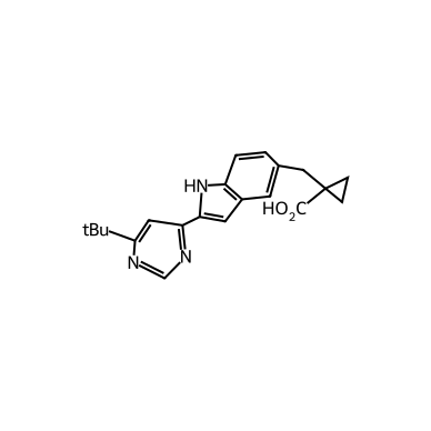 CC(C)(C)c1cc(-c2cc3cc(CC4(C(=O)O)CC4)ccc3[nH]2)ncn1